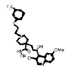 COc1ccc2ncc(Cl)c([C@H](O)CCC3(C(=O)NO)CCN(CCSc4cccc(C(F)(F)F)c4)CC3)c2c1